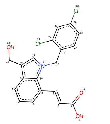 O=C(O)C=Cc1cccc2c(CO)cn(Cc3ccc(Cl)cc3Cl)c12